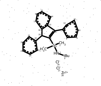 CC(C)(C)N[Si](C)(C)C1=C(c2ccccc2)c2ccccc2C1c1ccccc1.[Cl-].[Cl-].[Zr+2]